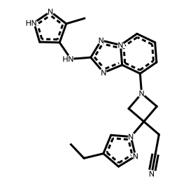 CCc1cnn(C2(CC#N)CN(c3cccn4nc(Nc5c[nH]nc5C)nc34)C2)c1